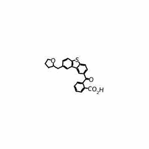 O=C(O)c1ccccc1C(=O)c1ccc2sc3ccc(CC4CCCO4)cc3c2c1